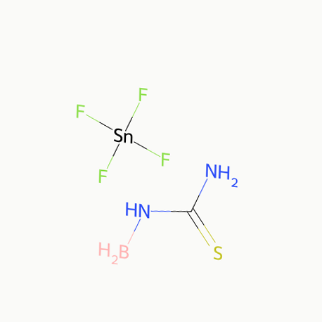 BNC(N)=S.[F][Sn]([F])([F])[F]